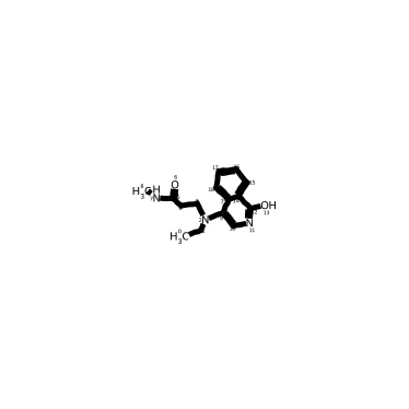 CCN(CCC(=O)NC)c1cnc(O)c2ccccc12